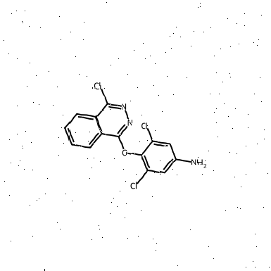 Nc1cc(Cl)c(Oc2nnc(Cl)c3ccccc23)c(Cl)c1